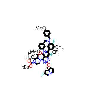 COc1ccc(CN(Cc2ccc(OC)cc2)c2cc(-c3nc4c5c(nc(OC[C@@]67CCCN6C[C@H](F)C7)nc5c3F)N3CCN(C(=O)OC(C)(C)C)C(C)C3C(C)O4)c(C(F)(F)F)c(C)c2F)cc1